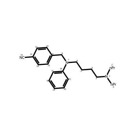 CCCN(CCC)CCCCN(Cc1ccc(C#N)cc1)c1ccccc1